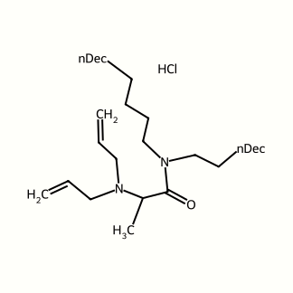 C=CCN(CC=C)C(C)C(=O)N(CCCCCCCCCCCC)CCCCCCCCCCCCCC.Cl